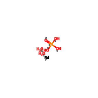 O.O.O=P(O)(O)O.[Nd]